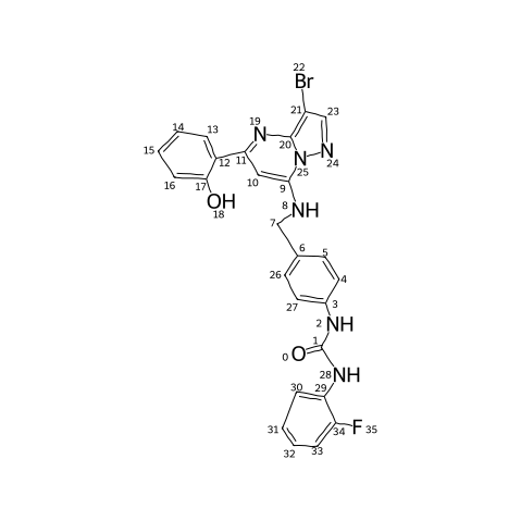 O=C(Nc1ccc(CNc2cc(-c3ccccc3O)nc3c(Br)cnn23)cc1)Nc1ccccc1F